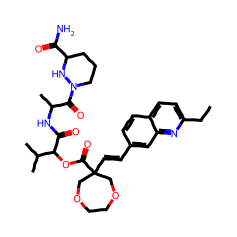 CCc1ccc2ccc(/C=C/C3(C(=O)OC(C(=O)NC(C)C(=O)N4CCCC(C(N)=O)N4)C(C)C)COCCOC3)cc2n1